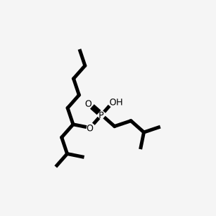 CCCCCC(CC(C)C)OP(=O)(O)CCC(C)C